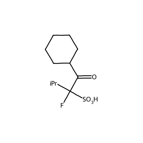 CC(C)C(F)(C(=O)C1CCCCC1)S(=O)(=O)O